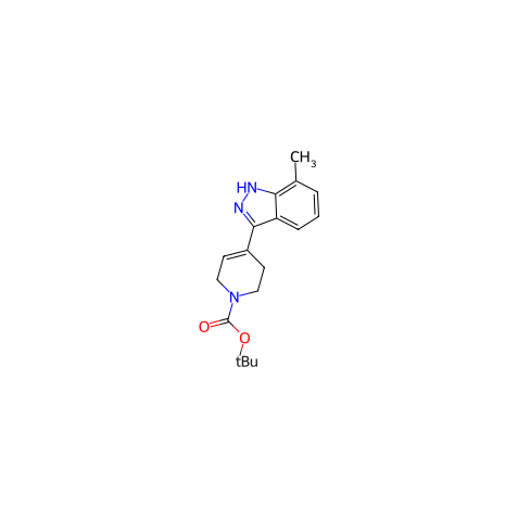 Cc1cccc2c(C3=CCN(C(=O)OC(C)(C)C)CC3)n[nH]c12